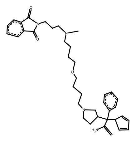 C=C(N)C(c1ccccc1)(C1C=CC=C1)C1CCN(CCCCOCCCCN(C)CCCN2C(=O)c3ccccc3C2=O)C1